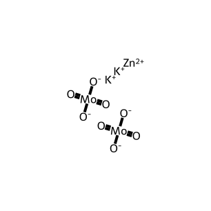 [K+].[K+].[O]=[Mo](=[O])([O-])[O-].[O]=[Mo](=[O])([O-])[O-].[Zn+2]